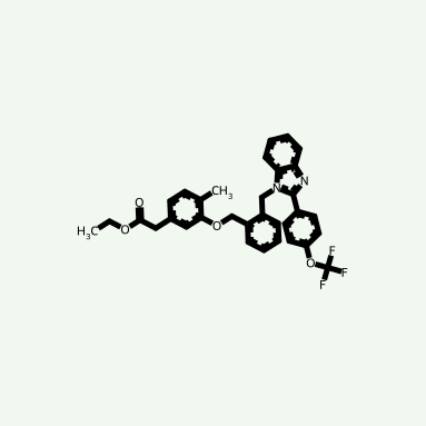 CCOC(=O)Cc1ccc(C)c(OCc2ccccc2Cn2c(-c3ccc(OC(F)(F)F)cc3)nc3ccccc32)c1